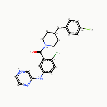 O=C(c1cc(Nc2cnccn2)ccc1Cl)N1CCC(Cc2ccc(F)cc2)CC1